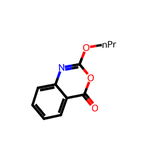 CCCOc1nc2ccccc2c(=O)o1